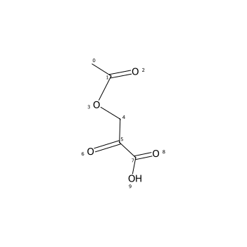 CC(=O)OCC(=O)C(=O)O